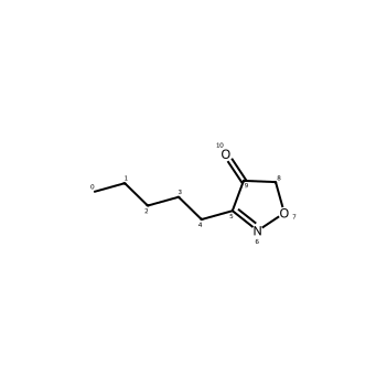 CCCCCC1=NOCC1=O